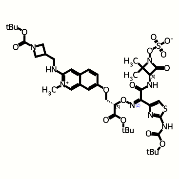 C[n+]1cc2cc(OC[C@H](O/N=C(\C(=O)N[C@@H]3C(=O)N(OS(=O)(=O)[O-])C3(C)C)c3csc(NC(=O)OC(C)(C)C)n3)C(=O)OC(C)(C)C)ccc2cc1NCC1CN(C(=O)OC(C)(C)C)C1